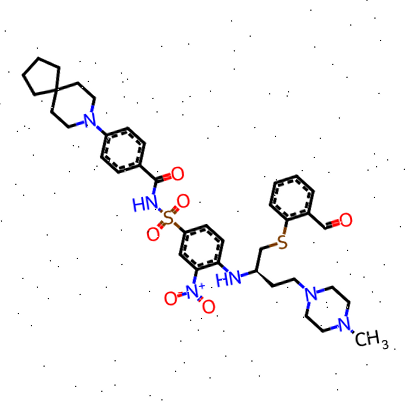 CN1CCN(CC[C@H](CSc2ccccc2C=O)Nc2ccc(S(=O)(=O)NC(=O)c3ccc(N4CCC5(CCCC5)CC4)cc3)cc2[N+](=O)[O-])CC1